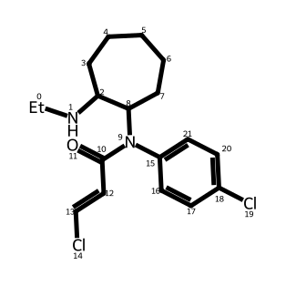 CCNC1CCCCCC1N(C(=O)C=CCl)c1ccc(Cl)cc1